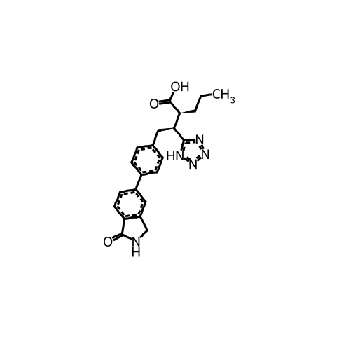 CCC[C@H](C(=O)O)[C@H](Cc1ccc(-c2ccc3c(c2)CNC3=O)cc1)c1nnn[nH]1